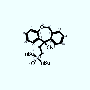 CCCC[N+]([O-])(CCCC)CCC1(C#N)c2ccccc2COc2ccccc21